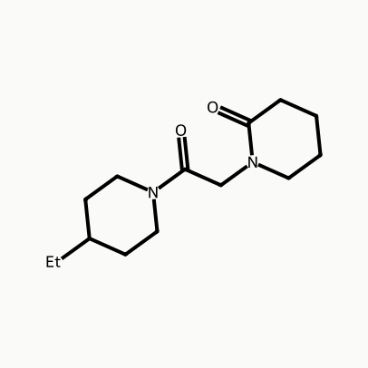 CCC1CCN(C(=O)CN2CCCCC2=O)CC1